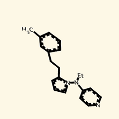 CCN(c1ccncc1)n1cccc1CCc1cccc(C)c1